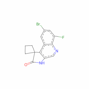 O=C1Nc2cnc3c(F)cc(Br)cc3c2C12CCC2